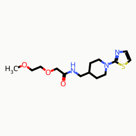 COCCOCC(=O)NCC1CCN(c2nccs2)CC1